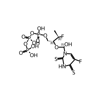 C[C@@H](F)[C@@H](COP(=O)(O)OP(=O)(O)OP(=O)(O)O)O[C@H](O)n1cc(F)c(=S)[nH]c1=S